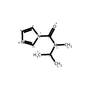 CC(C)N(C)C(=O)n1ccnc1